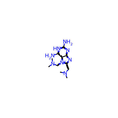 CN(C)C=c1nc2nc(N)[nH]c(N)c-2[n+]1=CN(C)C